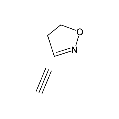 C#C.C1=NOCC1